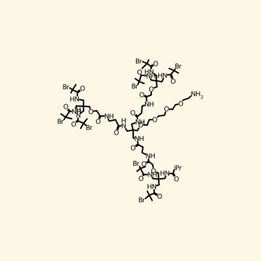 CC(C)C(=O)NCC(CNC(=O)C(C)(C)Br)(CNC(=O)C(C)(C)Br)COCC(=O)NCCC(=O)NCC(CNC(=O)CCNC(=O)COCC(CNC(=O)C(C)(C)Br)(CNC(=O)C(C)(C)Br)CNC(=O)C(C)(C)Br)(CNC(=O)CCNC(=O)COCC(CNC(=O)C(C)(C)Br)(CNC(=O)C(C)(C)Br)CNC(=O)C(C)(C)Br)COCCOCCOCCOCCN